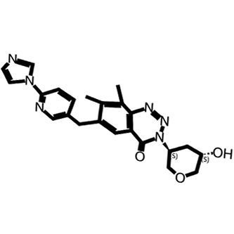 Cc1c(Cc2ccc(-n3ccnc3)nc2)cc2c(=O)n([C@@H]3COC[C@@H](O)C3)nnc2c1C